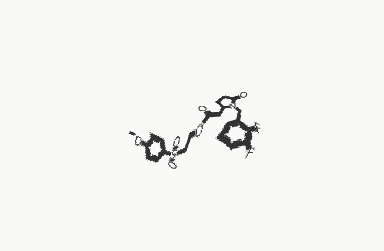 COc1ccc(S(=O)(=O)CCOC(=O)CC2CCC(=O)N2Cc2cccc(F)c2F)cc1